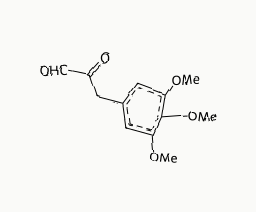 COc1cc(CC(=O)C=O)cc(OC)c1OC